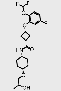 CC(O)CO[C@H]1CC[C@H](NC(=O)[C@H]2C[C@H](Oc3cc(F)ccc3OC(F)F)C2)CC1